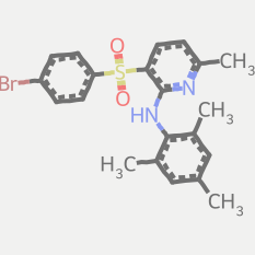 Cc1cc(C)c(Nc2nc(C)ccc2S(=O)(=O)c2ccc(Br)cc2)c(C)c1